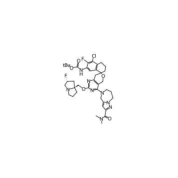 CN(C)C(=O)c1cc2n(n1)CCCN(c1nc(OC[C@@]34CCCN3C[C@H](F)C4)nc3c1COC1(CCCc4c1cc(NC(=O)OC(C)(C)C)c(F)c4Cl)C3)C2